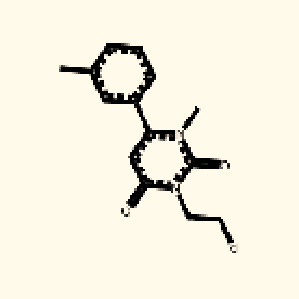 Cc1cccc(-c2cc(=O)n(CCCl)c(=O)n2C)c1